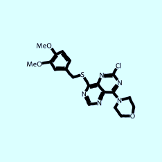 COc1ccc(CSc2ncnc3c(N4CCOCC4)nc(Cl)nc23)cc1OC